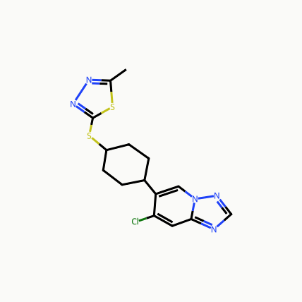 Cc1nnc(SC2CCC(c3cn4ncnc4cc3Cl)CC2)s1